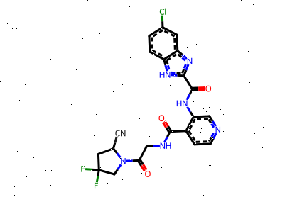 N#CC1CC(F)(F)CN1C(=O)CNC(=O)c1ccncc1NC(=O)c1nc2cc(Cl)ccc2[nH]1